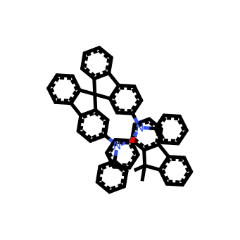 CC1(C)c2ccccc2-c2cccc(N(c3ccccc3)c3ccc4c(c3)C3(c5ccccc5-c5ccc(N(c6ccccc6)c6ccccc6)cc53)c3ccccc3-4)c21